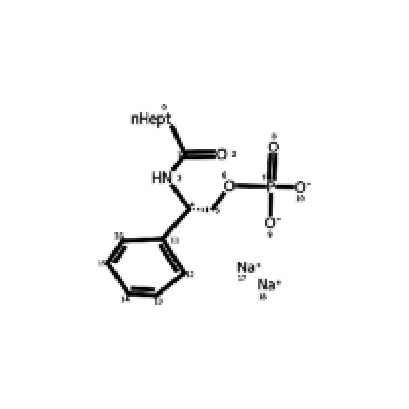 CCCCCCCC(=O)N[C@H](COP(=O)([O-])[O-])c1ccccc1.[Na+].[Na+]